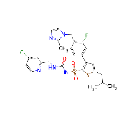 Cc1nccn1Cc1ccc(-c2cc(CC(C)C)sc2S(=O)(=O)NC(=O)NCc2cc(Cl)ccn2)cc1F